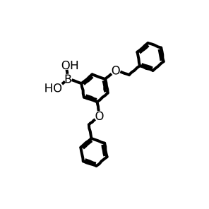 OB(O)c1cc(OCc2ccccc2)cc(OCc2ccccc2)c1